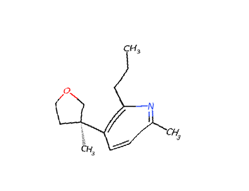 CCCc1nc(C)ccc1[C@@]1(C)CCOC1